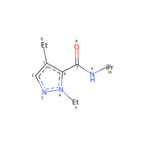 CCc1cnn(CC)c1C(=O)NC(C)C